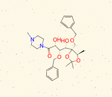 C[C@H]1OC(C)(C)O[C@@]1(COCc1ccccc1)[C@@H](O)[C@H](OCc1ccccc1)[C@@H](O)C(=O)N1CCN(C)CC1